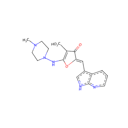 CN1CCN(NC2=C(C(=O)O)C(=O)C(=Cc3c[nH]c4ncccc34)O2)CC1